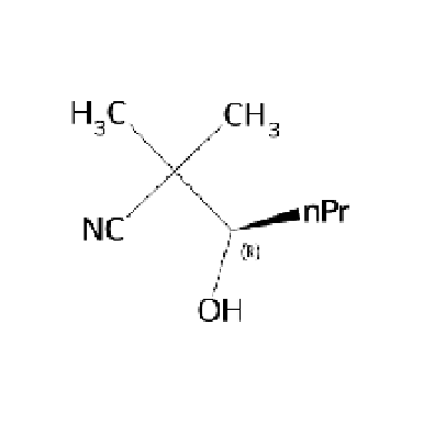 CCC[C@@H](O)C(C)(C)C#N